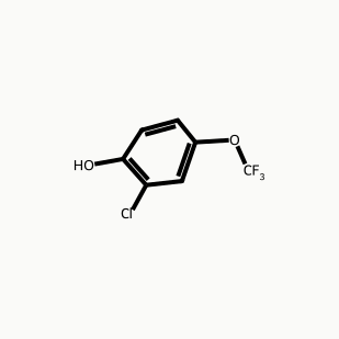 Oc1ccc(OC(F)(F)F)cc1Cl